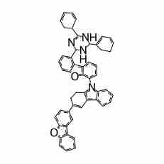 C1=CCCC(C2NC(C3C=CC=CC3)=NC(c3cccc4oc5c(-n6c7c(c8ccccc86)C=C(c6ccc8oc9ccccc9c8c6)CC7)cccc5c34)N2)=C1